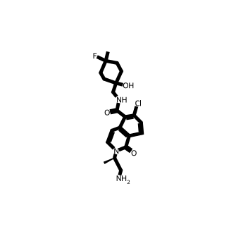 C[C@H](CN)n1ccc2c(C(=O)NCC3(O)CCC(C)(F)CC3)c(Cl)ccc2c1=O